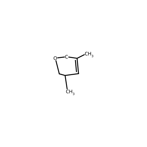 CC1=CC(C)COC1